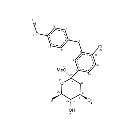 CCOc1ccc(Cc2cc([C@@]3(OC)C[C@@H](O)[C@H](O)[C@@H](C)O3)ccc2Cl)cc1